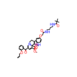 C=CCOc1ccccc1C(=O)C1=CN2CCc3c([nH]c4ccc(OCC(=O)NCCCCNC(=O)C(C)(C)C)cc34)C2(C(=O)OC)C(C(=O)OC)=C1